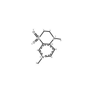 CN1CCS(=O)(=O)c2c[n+](C)ccc21